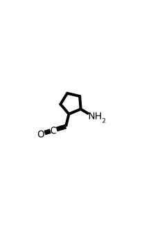 NC1CCCC1C=C=O